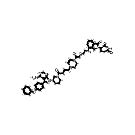 Nc1ncnc2c1c(-c1ccc(Oc3ccccc3)cc1)nn2[C@@H]1CCCN(C(=O)CCCN2CCN(C(=O)COCCNc3cccc4c3CN(C3CCC(=O)NC3=O)C4=O)CC2)C1